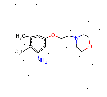 Cc1cc(OCCN2CCOCC2)cc(N)c1[N+](=O)[O-]